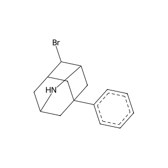 BrC1C2CC3CC(c4ccccc4)(C2)CC1N3